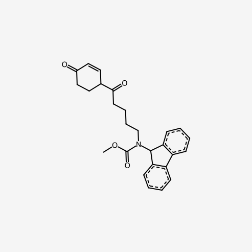 COC(=O)N(CCCCC(=O)C1C=CC(=O)CC1)C1c2ccccc2-c2ccccc21